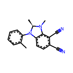 Cc1ccccc1N1c2ccc(C#N)c(C#N)c2N(C)[C@@H]1C